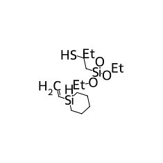 C=C[SiH]1CCCCC1.CCO[Si](CCS)(OCC)OCC